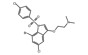 CN(C)CCOc1cn(S(=O)(=O)c2ccc(Cl)cc2)c2c(Br)cc(Cl)cc12